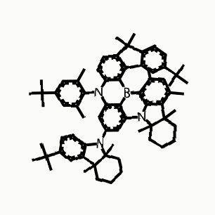 Cc1cc(C)c2c3c1B1c4c(cc(N5c6ccc(C(C)(C)C)cc6C6(C)CCCCC56C)cc4N3C3(C)CCCCC23C)N(c2c(C)cc(C(C)(C)C)cc2C)c2ccc3c(c21)-c1cc(C(C)(C)C)ccc1C3(C)C